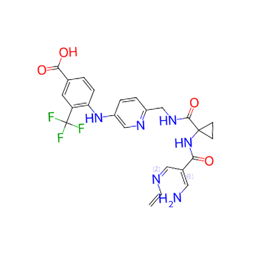 C=C/N=C\C(=C/N)C(=O)NC1(C(=O)NCc2ccc(Nc3ccc(C(=O)O)cc3C(F)(F)F)cn2)CC1